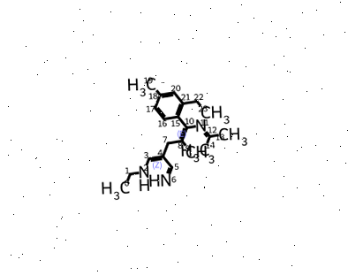 CCN/C=C(\C=N)C/C(C)=C(/N=C(C)C)c1ccc(C)cc1CC